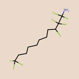 NC(F)(F)C(F)(F)C(F)CCCCCCCC(F)(F)F